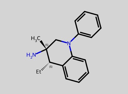 CC[C@H]1c2ccccc2N(c2ccccc2)C[C@@]1(C)N